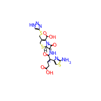 Nc1nc(/C(=C\CC(=O)O)C(=O)N[C@@H]2C(=O)N3C(C(=O)O)=C(CSc4c[nH]nn4)CS[C@H]23)cs1